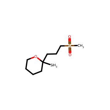 CS(=O)(=O)CCCC1([SiH3])CCCCO1